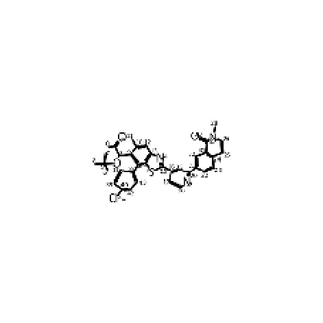 CC(=O)[C@@H](OC(C)(C)C)c1c(C)cc2nc(-c3ccnc(-c4ccc5ccn(C)c(=O)c5c4)c3)sc2c1-c1ccc(Cl)cc1